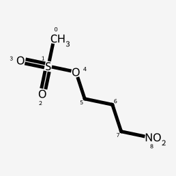 CS(=O)(=O)OCCC[N+](=O)[O-]